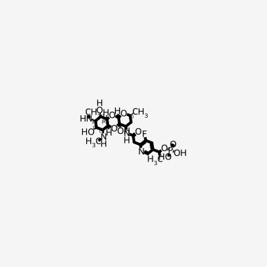 CN[C@@H]1[C@H](O)[C@H](NC)[C@H]2O[C@@]3(O)C(NC(=O)Cc4ncc(C(C)OP(=O)(O)O)cc4F)C[C@@H](C)O[C@H]3O[C@@H]2[C@H]1O